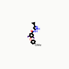 COc1ccc(Oc2c(I)cc(C(=O)Nc3cc(C4CC4)n[nH]3)cc2I)cc1